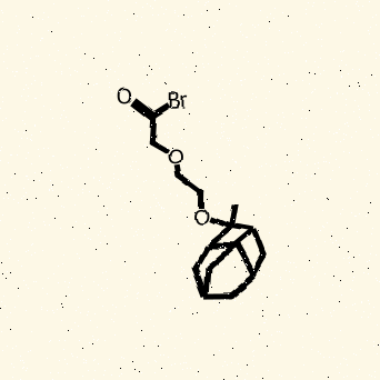 CC1(OCCOCC(=O)Br)C2CC3CC(C2)CC1C3